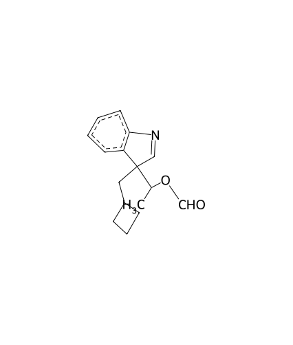 CC(OC=O)C1(CC2CCC2)C=Nc2ccccc21